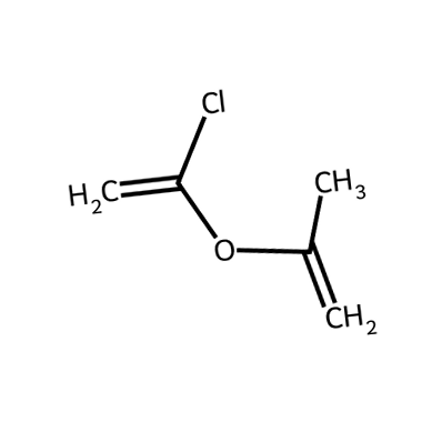 C=C(C)OC(=C)Cl